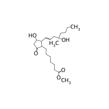 CCCC[C@@](C)(O)CC=CC1C(O)CC(=O)C1CCCCCCC(=O)OC